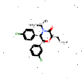 CCC[C@@H](C(=O)OCC)N1C(=O)[C@@H](CC(=O)O)O[C@H](c2cccc(Cl)c2)[C@@H]1c1ccc(Cl)cc1